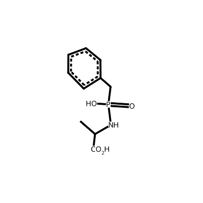 CC(NP(=O)(O)Cc1ccccc1)C(=O)O